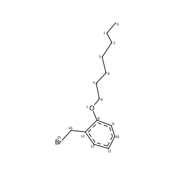 CCCCCCCOc1ccccc1CBr